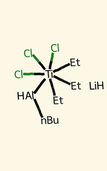 CCC[CH2][AlH][Ti]([Cl])([Cl])([Cl])([CH2]C)([CH2]C)[CH2]C.[LiH]